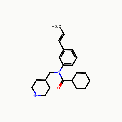 O=C(O)C=Cc1cccc(N(CC2CCNCC2)C(=O)C2CCCCC2)c1